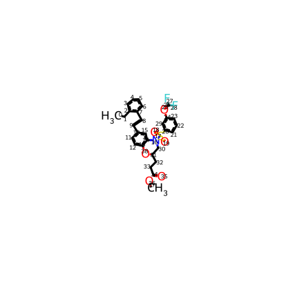 CCc1ccccc1C=Cc1ccc2c(c1)N(S(=O)(=O)c1cccc(OC(F)F)c1)CC(CCC(=O)OC)O2